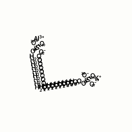 O.O.O.O.O.O.O.O.O.O.O.O.O.O.O.O.O.O.O=S(=O)([O-])[O-].O=S(=O)([O-])[O-].[Al+3].[K+]